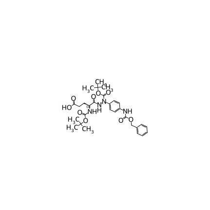 CC(C)(C)OC(=O)N[C@@H](CCC(=O)O)C(=O)NN(C(=O)OC(C)(C)C)c1ccc(NC(=O)OCc2ccccc2)cc1